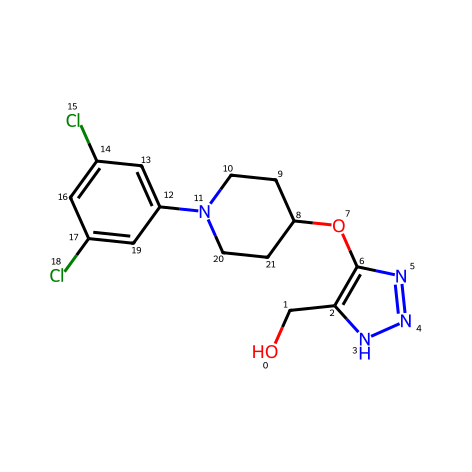 OCc1[nH]nnc1OC1CCN(c2cc(Cl)cc(Cl)c2)CC1